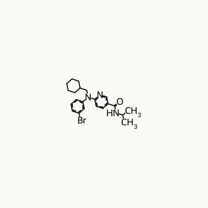 CC(C)NC(=O)c1ccc(N(CC2CCCCC2)c2cccc(Br)c2)nc1